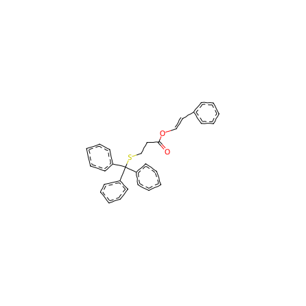 O=C(CCSC(c1ccccc1)(c1ccccc1)c1ccccc1)O/C=C/c1ccccc1